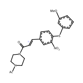 COc1cccc(Sc2ccc(/C=C/C(=O)N3CCN(C(C)=O)CC3)cc2[N+](=O)[O-])c1